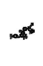 Cn1cnnc1CC1(c2cccc(N3Cc4c(cc(CN5CCC6C(C5)C6(F)F)cc4C(F)(F)F)C3=O)c2)CC(C#N)C1